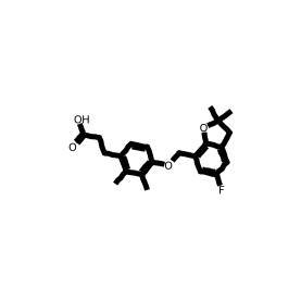 Cc1c(CCC(=O)O)ccc(OCc2cc(F)cc3c2OC(C)(C)C3)c1C